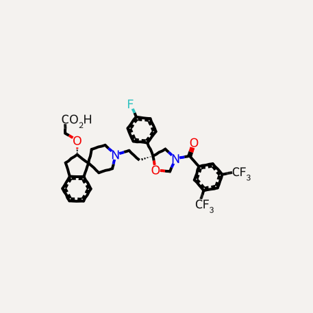 O=C(O)CO[C@H]1Cc2ccccc2C12CCN(CC[C@]1(c3ccc(F)cc3)CN(C(=O)c3cc(C(F)(F)F)cc(C(F)(F)F)c3)CO1)CC2